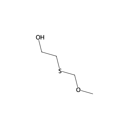 COCSCCO